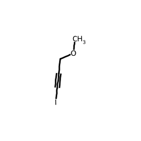 COCC#CI